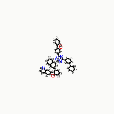 c1ccc(-c2cccc(-c3nc(-c4ccc5c(c4)oc4ccccc45)nc(-c4cc(-c5cccc6oc7cc8cccnc8cc7c56)cc5ccccc45)n3)c2)cc1